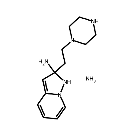 N.NC1(CCN2CCNCC2)C=C2C=CC=CN2N1